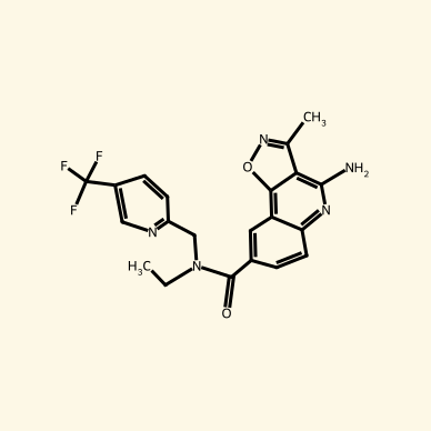 CCN(Cc1ccc(C(F)(F)F)cn1)C(=O)c1ccc2nc(N)c3c(C)noc3c2c1